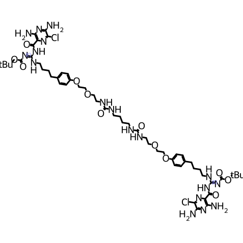 CC(C)(C)OC(=O)/N=C(\NCCCCc1ccc(OCCOCCNC(=O)NCCCCNC(=O)NCCOCCOc2ccc(CCCCN/C(=N\C(=O)OC(C)(C)C)NC(=O)c3nc(Cl)c(N)nc3N)cc2)cc1)NC(=O)c1nc(Cl)c(N)nc1N